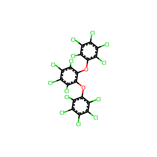 Clc1c(Cl)c(Cl)c(Oc2c(Cl)c(Cl)c(Cl)c(Cl)c2Oc2c(Cl)c(Cl)c(Cl)c(Cl)c2Cl)c(Cl)c1Cl